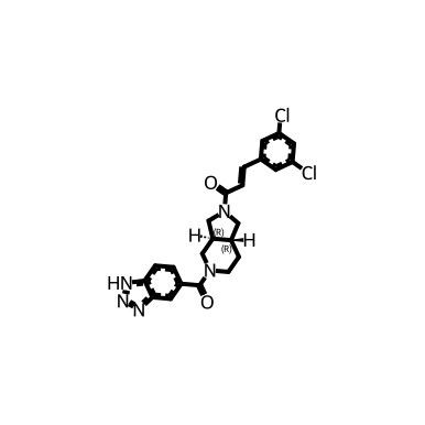 O=C(C=Cc1cc(Cl)cc(Cl)c1)N1C[C@@H]2CN(C(=O)c3ccc4[nH]nnc4c3)CC[C@H]2C1